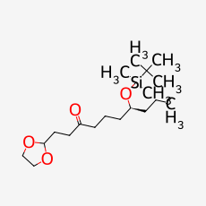 CCC[C@@H](CCCC(=O)CCC1OCCO1)O[Si](C)(C)C(C)(C)C